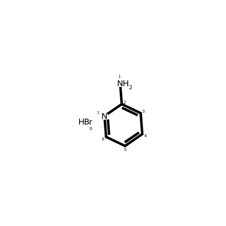 Br.Nc1ccccn1